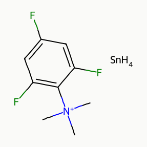 C[N+](C)(C)c1c(F)cc(F)cc1F.[SnH4]